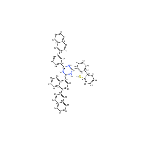 c1cc(-c2ccc3ccccc3c2)cc(-c2nc(-c3ccc(-c4ccc5ccccc5c4)c4ccccc34)nc(-c3cccc4c3sc3ccccc34)n2)c1